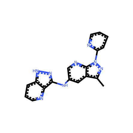 Cc1nn(-c2ccccn2)c2ncc(Nc3n[nH]c4cccnc34)cc12